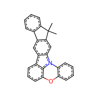 CC1(C)c2ccccc2-c2cc3c4cccc5c4n(c3cc21)-c1ccccc1O5